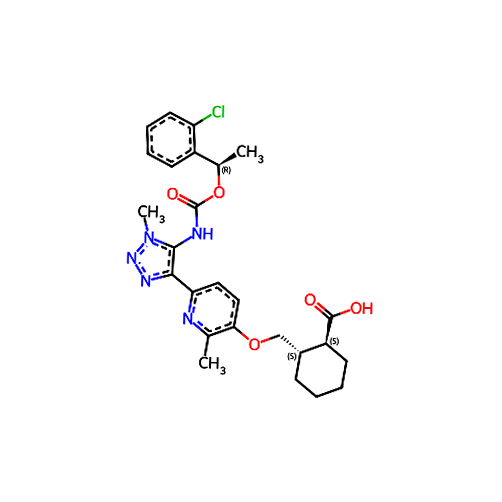 Cc1nc(-c2nnn(C)c2NC(=O)O[C@H](C)c2ccccc2Cl)ccc1OC[C@H]1CCCC[C@@H]1C(=O)O